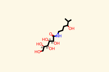 C[C](C)C(O)CCCNC(=O)[C@H](O)[C@@H](O)[C@H](O)[C@H](O)CO